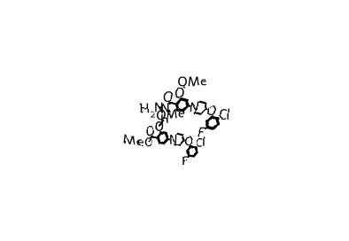 COCOc1cc(N2CCC(Oc3cc(F)ccc3Cl)CC2)ccc1C(=O)NN.COCOc1cc(N2CCC(Oc3cc(F)ccc3Cl)CC2)ccc1C(=O)OC